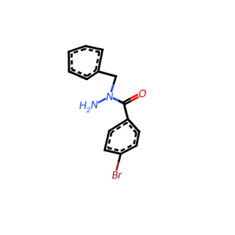 NN(Cc1ccccc1)C(=O)c1ccc(Br)cc1